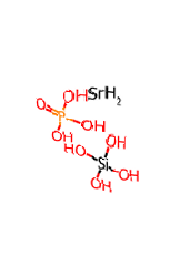 O=P(O)(O)O.O[Si](O)(O)O.[SrH2]